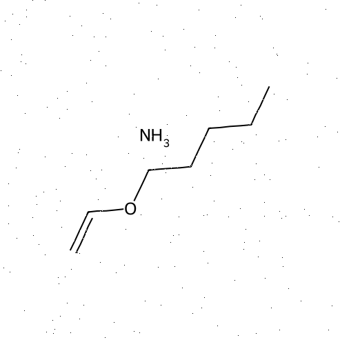 C=COCCCCC.N